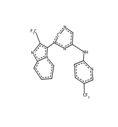 FC(F)(F)c1ccc(Nc2cncc(-c3c(C(F)(F)F)nc4ccccn34)n2)nc1